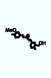 COc1cc(/C=C/C(=O)/C=C/c2ccc(C)c(CO)c2)ccc1C